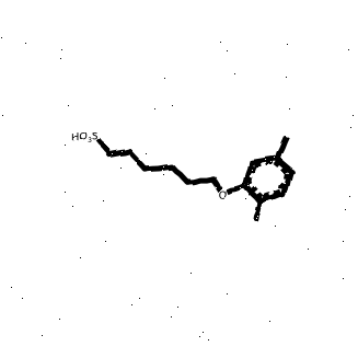 Cc1ccc(C)c(OCCCCCCS(=O)(=O)O)c1